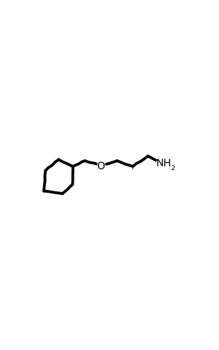 NC[CH]COCC1CCCCC1